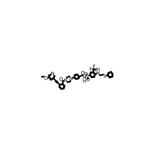 CCOc1cncc(C#Cc2ccccc2C(=O)N2CCN(c3ccc(C(=O)NS(=O)(=O)c4ccc(NCCSc5ccccc5)c(C(F)(F)F)c4)cc3)CC2)c1